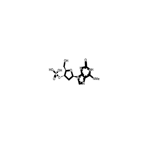 CNc1[nH]c(=O)nc2c1ncn2[C@H]1C[C@H](OP(=O)(O)O)[C@@H](CO)O1